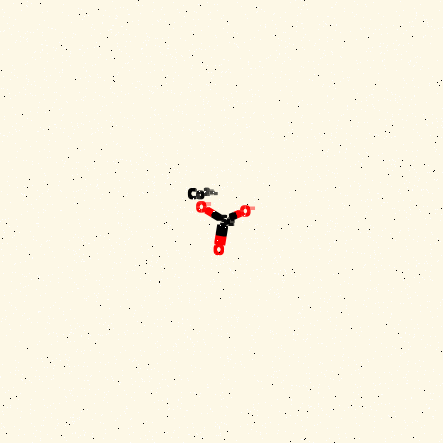 O=[Se]([O-])[O-].[Co+2]